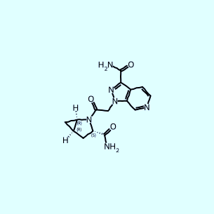 NC(=O)c1nn(CC(=O)N2[C@@H]3C[C@@H]3C[C@H]2C(N)=O)c2cnccc12